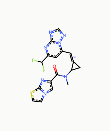 CN(C(=O)c1cn2ccsc2n1)C1C/C1=C/c1cc(C(F)F)nc2ncnn12